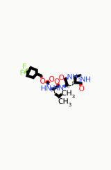 CC(C)C[C@H](NC(=O)OCC1CCC(F)(F)CC1)C(=O)N[C@@H](C[C@@H]1CCNC1=O)C(N)=O